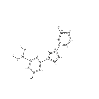 CCN(CC)c1cc(-c2nc(-c3ccnc(C)c3)no2)cc(C)n1